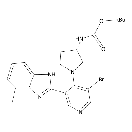 Cc1cccc2[nH]c(-c3cncc(Br)c3N3CC[C@H](NC(=O)OC(C)(C)C)C3)nc12